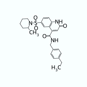 CCc1ccc(CNC(=O)c2cc(=O)[nH]c3ccc(S(=O)(=O)N4CCCCC4C)cc23)cc1